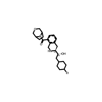 CCC1CCC(C[C@@H](O)[C@@H]2Cc3cccc(C(=O)N4C5CCC4COC5)c3CN2)CC1